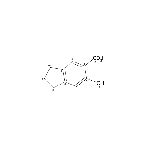 O=C(O)c1cc2c(cc1O)CCC2